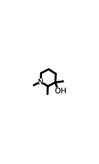 CC1N(C)CCCC1(C)O